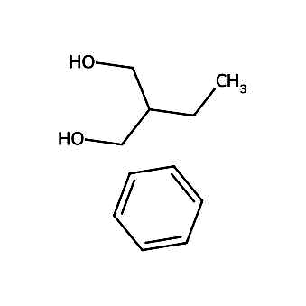 CCC(CO)CO.c1ccccc1